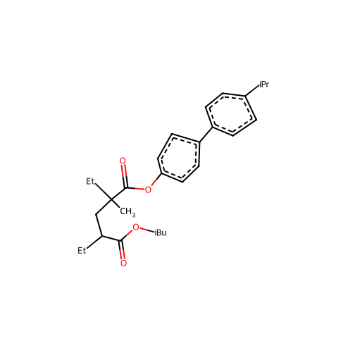 CCC(C)OC(=O)C(CC)CC(C)(CC)C(=O)Oc1ccc(-c2ccc(C(C)C)cc2)cc1